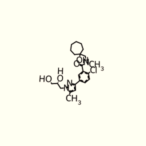 Cc1cc(-c2ccc(Cl)c(C(=O)N(C)CC3(O)CCCCCC3)c2)nn1C[C@@H](O)CO